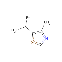 CCC(C)c1scnc1C